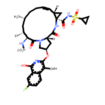 CC[C@@H]1C[C@H](C)CC/C=C\[C@@H]2C[C@@]2(C(=O)NS(=O)(=O)C2CC2)NC(=O)[C@@H]2C[C@@H](Oc3nc(O)c4cc(F)ccc4c3OC)CN2C(=O)[C@H]1NC(=O)O